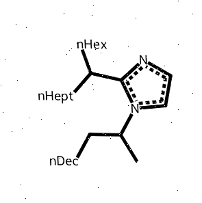 CCCCCCCCCCCC(C)n1ccnc1C(CCCCCC)CCCCCCC